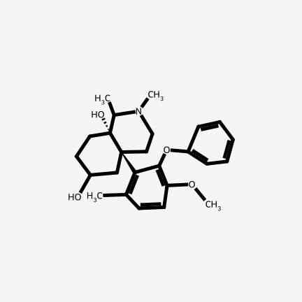 COc1ccc(C)c([C@]23CCN(C)C(C)[C@]2(O)CCC(O)C3)c1Oc1ccccc1